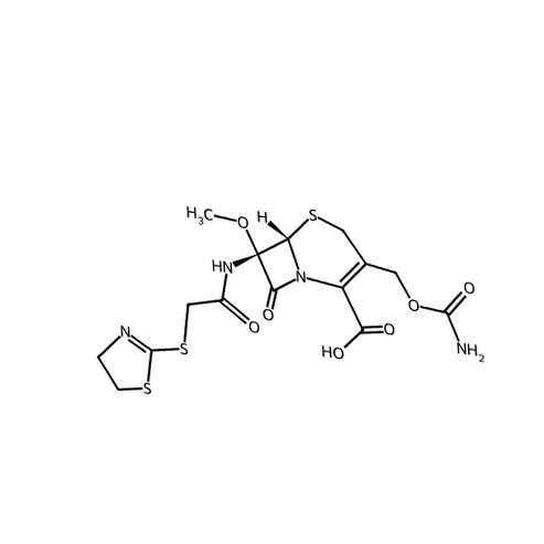 CO[C@@]1(NC(=O)CSC2=NCCS2)C(=O)N2C(C(=O)O)=C(COC(N)=O)CS[C@H]21